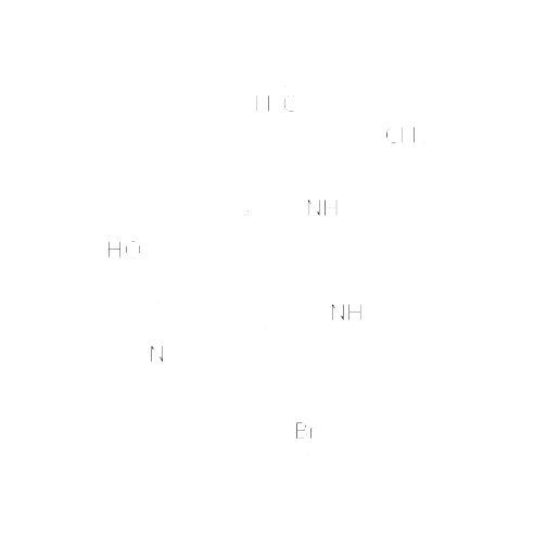 CC(C)N/C=C1\C(=N)C(Br)=CN=C1O